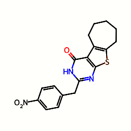 O=c1[nH]c(Cc2ccc([N+](=O)[O-])cc2)nc2sc3c(c12)CCCCC3